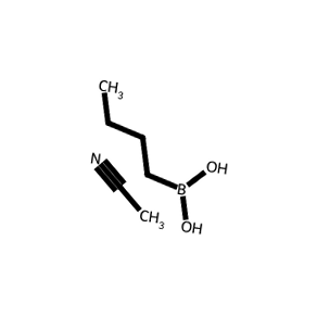 CC#N.CCCCB(O)O